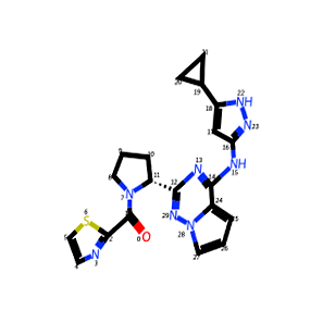 O=C(c1nccs1)N1CCC[C@@H]1c1nc(Nc2cc(C3CC3)[nH]n2)c2cccn2n1